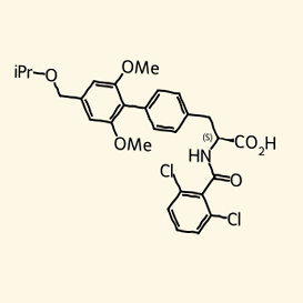 COc1cc(COC(C)C)cc(OC)c1-c1ccc(C[C@H](NC(=O)c2c(Cl)cccc2Cl)C(=O)O)cc1